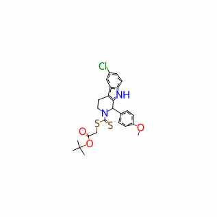 COc1ccc(C2c3[nH]c4ccc(Cl)cc4c3CCN2C(=S)SCC(=O)OC(C)(C)C)cc1